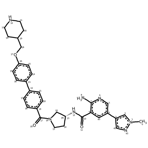 Cn1cc(-c2cnc(N)c(C(=O)N[C@@H]3CCN(C(=O)c4ccc(-c5ccc(OCC6CCNCC6)cc5)cc4)C3)c2)cn1